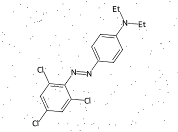 CCN(CC)c1ccc(N=Nc2c(Cl)cc(Cl)cc2Cl)cc1